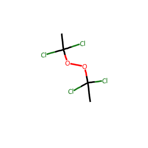 CC(Cl)(Cl)OOC(C)(Cl)Cl